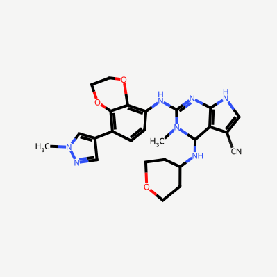 CN1C(Nc2ccc(-c3cnn(C)c3)c3c2OCCO3)=Nc2[nH]cc(C#N)c2C1NC1CCOCC1